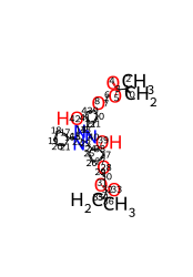 C=C(C)C(=O)OCCOc1ccc(-c2nc(-c3ccccc3)nc(-c3ccc(OCCOC(=O)C(=C)C)cc3O)n2)c(O)c1